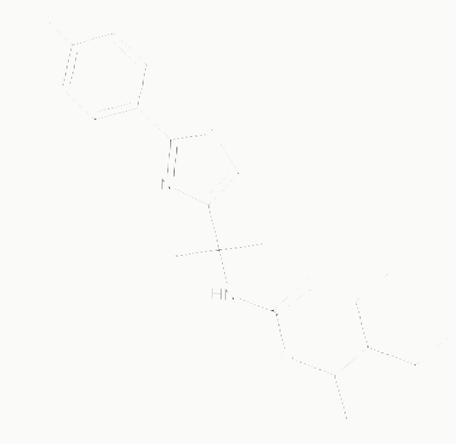 CCC(CC)C(C)OC(=O)NC(C)(C)c1csc(-c2ccc(F)cc2)n1